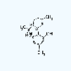 C=C(C)[C@H]1CCC(C)=C[C@H]1c1c(O)cc(C)cc1O